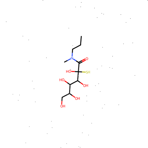 CCCN(C)C(=O)C(O)(S)C(O)C(O)C(O)CO